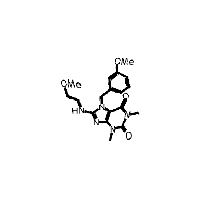 COCCNc1nc2c(c(=O)n(C)c(=O)n2C)n1Cc1cccc(OC)c1